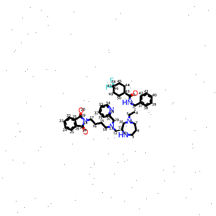 O=C(N[C@@H](CCN1CCCN[C@@H](CN(CCCCN2C(=O)c3ccccc3C2=O)Cc2ccccn2)C1)c1ccccc1)C1CCC(F)(F)CC1